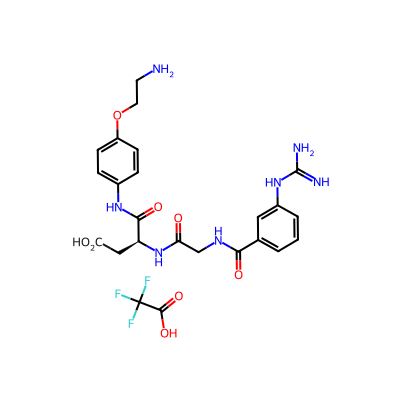 N=C(N)Nc1cccc(C(=O)NCC(=O)N[C@@H](CC(=O)O)C(=O)Nc2ccc(OCCN)cc2)c1.O=C(O)C(F)(F)F